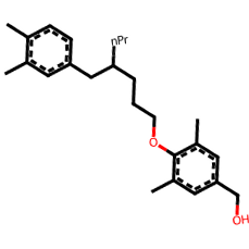 CCCC(CCCOc1c(C)cc(CO)cc1C)Cc1ccc(C)c(C)c1